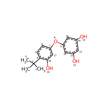 CC(C)(C)c1ccc(Oc2cc(O)cc(O)c2)cc1O